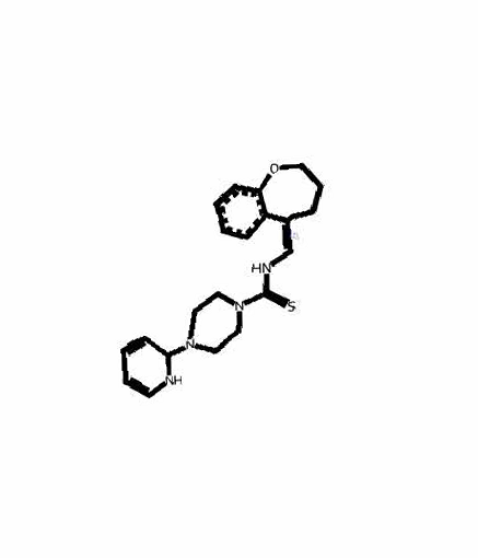 S=C(N/C=C1/CCCOc2ccccc21)N1CCN(C2C=CC=CN2)CC1